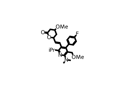 COCc1c(N(C)C)nc(C(C)C)c(/C=C/C2CC(OC)CC(=O)O2)c1-c1ccc(F)cc1